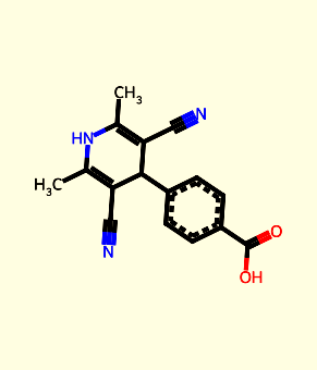 CC1=C(C#N)C(c2ccc(C(=O)O)cc2)C(C#N)=C(C)N1